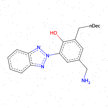 CCCCCCCCCCCc1cc(CN)cc(-n2nc3ccccc3n2)c1O